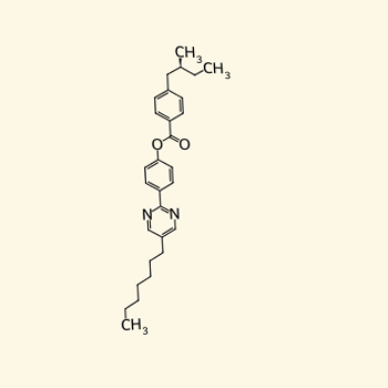 CCCCCCCc1cnc(-c2ccc(OC(=O)c3ccc(C[C@@H](C)CC)cc3)cc2)nc1